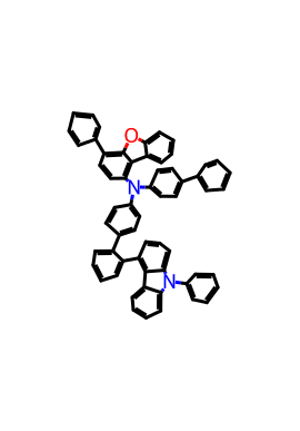 c1ccc(-c2ccc(N(c3ccc(-c4ccccc4-c4cccc5c4c4ccccc4n5-c4ccccc4)cc3)c3ccc(-c4ccccc4)c4oc5ccccc5c34)cc2)cc1